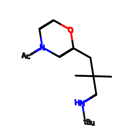 CC(=O)N1CCOC(CC(C)(C)CNC(C)(C)C)C1